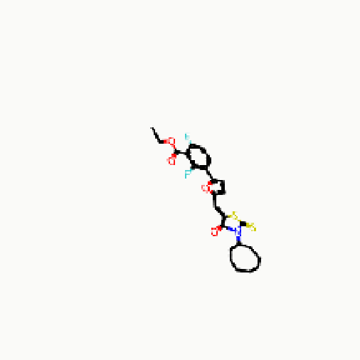 CCOC(=O)c1c(F)ccc(-c2ccc(/C=C3\SC(=S)N(C4CCCCCCC4)C3=O)o2)c1F